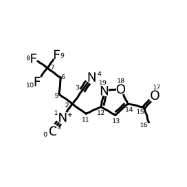 [C-]#[N+]C(C#N)(CCC(F)(F)F)Cc1cc(C(C)=O)on1